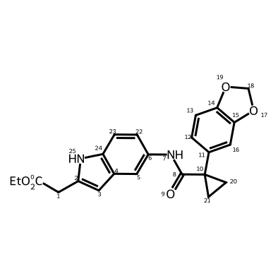 CCOC(=O)Cc1cc2cc(NC(=O)C3(c4ccc5c(c4)OCO5)CC3)ccc2[nH]1